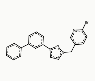 Brc1ccc(Cn2ccc(-c3cccc(-c4ccccc4)c3)n2)cn1